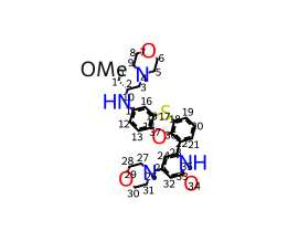 COC[C@H](CN1CCOCC1)Nc1ccc2c(c1)Sc1cccc(-c3cc(N4CCOCC4)cc(=O)[nH]3)c1O2